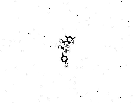 COc1ccc(CNC(=O)n2sc3nc(C)cc(C)c3c2=O)cc1